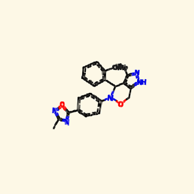 COc1ccccc1C1c2c(C(C)(C)C)n[nH]c2CON1c1ccc(-c2nc(C)no2)cc1